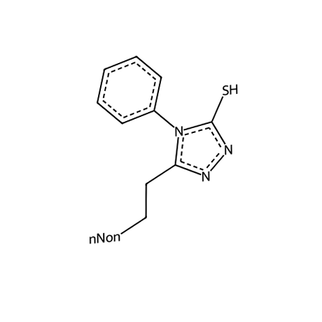 CCCCCCCCCCCc1nnc(S)n1-c1ccccc1